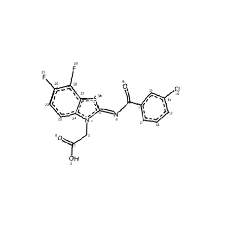 O=C(O)Cn1/c(=N/C(=O)c2cccc(Cl)c2)sc2c(F)c(F)ccc21